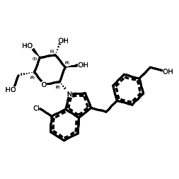 OCc1ccc(Cc2cn([C@@H]3O[C@H](CO)[C@@H](O)[C@H](O)[C@H]3O)c3c(Cl)cccc23)cc1